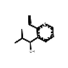 C=Cc1ncccc1C(O)C(C)C